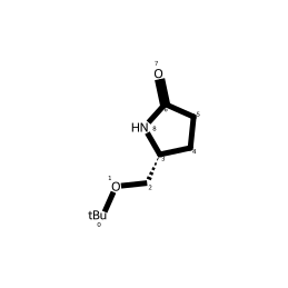 CC(C)(C)OC[C@H]1CCC(=O)N1